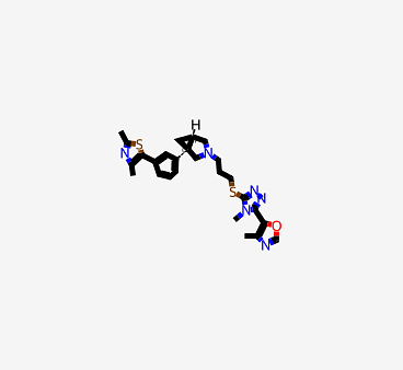 Cc1nc(C)c(-c2cccc([C@]34C[C@H]3CN(CCCSc3nnc(-c5ocnc5C)n3C)C4)c2)s1